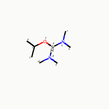 CC(C)O[SiH](N(C)C)N(C)C